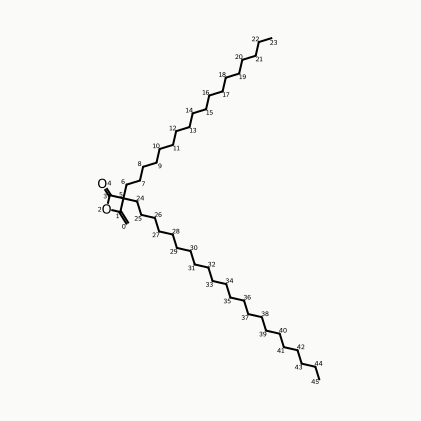 C=C1OC(=O)C1(CCCCCCCCCCCCCCCCCC)CCCCCCCCCCCCCCCCCCCCCC